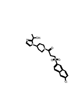 CC(O)c1nccn1C1CCN(C(=O)CCS(=O)(=O)c2ccc3cc(Cl)ccc3c2)CC1